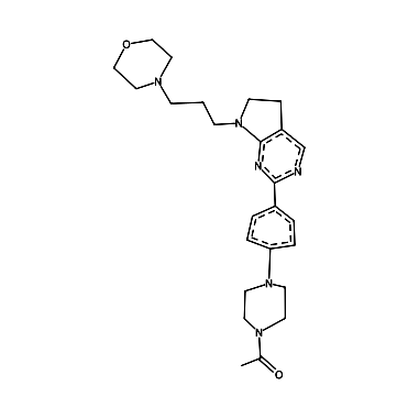 CC(=O)N1CCN(c2ccc(-c3ncc4c(n3)N(CCCN3CCOCC3)CC4)cc2)CC1